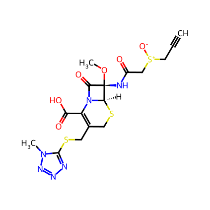 C#CC[S+]([O-])CC(=O)N[C@]1(OC)C(=O)N2C(C(=O)O)=C(CSc3nnnn3C)CS[C@@H]21